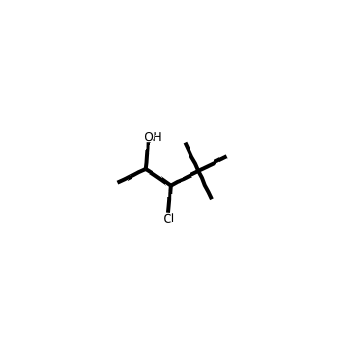 CC(O)C(Cl)C(C)(C)C